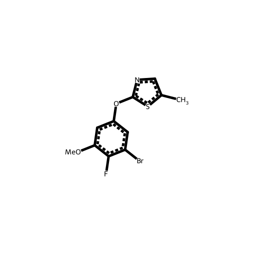 COc1cc(Oc2ncc(C)s2)cc(Br)c1F